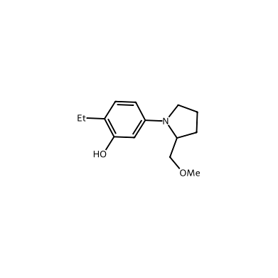 CCc1ccc(N2CCCC2COC)cc1O